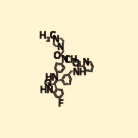 CN1CCN(CC(=O)N(C)c2ccc(N/C(=C3\C(=O)Nc4cc(F)ccc43)c3cccc(CNC(=O)c4ccccn4)c3)cc2)CC1